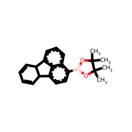 CC1(C)OB(c2ccc3c4c(cccc24)C2C=CC=CC32)OC1(C)C